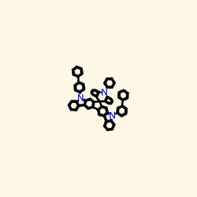 c1ccc(-c2ccc(-n3c4ccccc4c4cc5c(cc43)C3(c4cc6c(cc4-5)c4ccccc4n6-c4cccc(-c5ccccc5)c4)c4ccccc4N(c4ccccc4)c4ccccc43)cc2)cc1